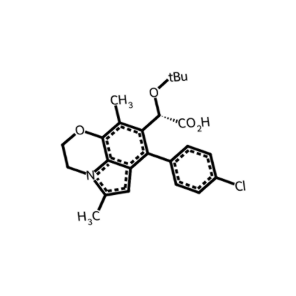 Cc1c([C@H](OC(C)(C)C)C(=O)O)c(-c2ccc(Cl)cc2)c2cc(C)n3c2c1OCC3